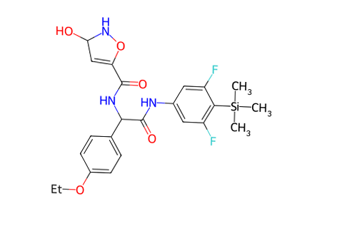 CCOc1ccc(C(NC(=O)C2=CC(O)NO2)C(=O)Nc2cc(F)c([Si](C)(C)C)c(F)c2)cc1